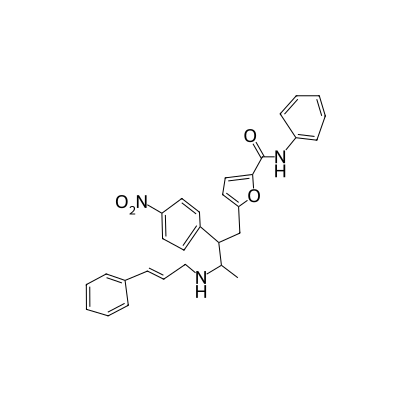 CC(NCC=Cc1ccccc1)C(Cc1ccc(C(=O)Nc2ccccc2)o1)c1ccc([N+](=O)[O-])cc1